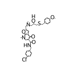 COc1ccc(CSCC(O)CN(C)Cc2cc3c(=O)c(C(=O)NCc4ccc(Cl)cc4)cn(C)c3o2)cc1